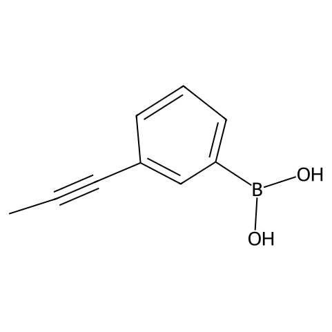 CC#Cc1cccc(B(O)O)c1